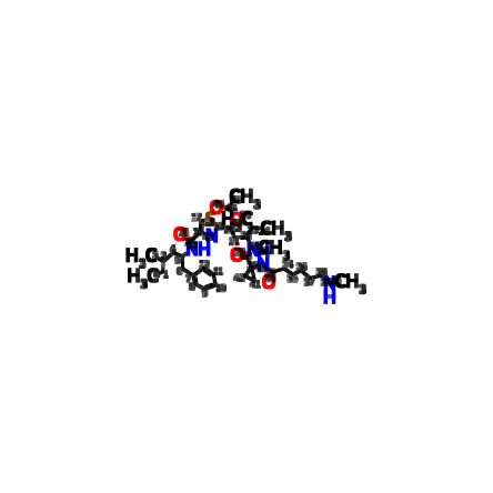 CCC(C)CC(Cc1ccccc1)NC(=O)c1csc(C(CC(C(C)C)N(C)C(=O)C2(NC(=O)CCCCCNC)CC2)OC(C)=O)n1